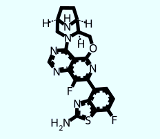 Nc1nc2c(-c3nc4c5c(ncnc5c3F)N3C[C@H]5CC[C@H](N5)[C@H]3CO4)ccc(F)c2s1